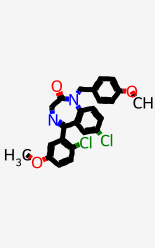 COc1ccc(CN2C(=O)CN=C(c3cc(OC)ccc3Cl)c3cc(Cl)ccc32)cc1